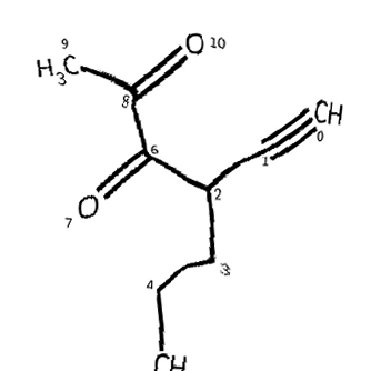 C#CC(CCC)C(=O)C(C)=O